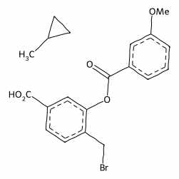 CC1CC1.COc1cccc(C(=O)Oc2cc(C(=O)O)ccc2CBr)c1